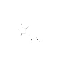 CC1SC(=O)C(C(C)(C)C(=O)OC(C)(C)C)C1=O